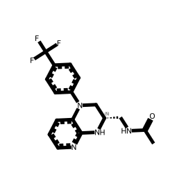 CC(=O)NC[C@H]1CN(c2ccc(C(F)(F)F)cc2)c2cccnc2N1